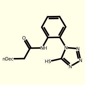 CCCCCCCCCCCC(=O)Nc1ccccc1-n1nnnc1S